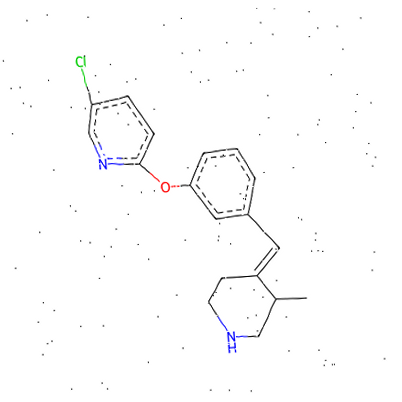 CC1CNCCC1=Cc1cccc(Oc2ccc(Cl)cn2)c1